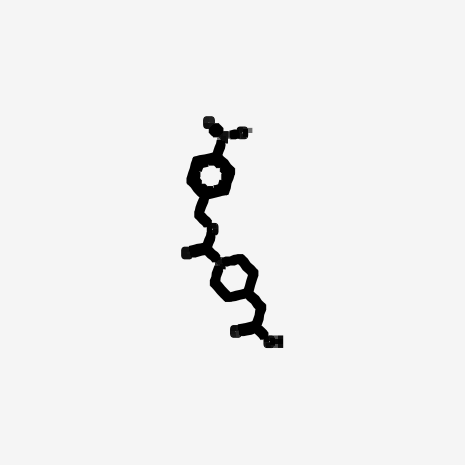 O=C(O)CC1CCN(C(=O)OCc2ccc([N+](=O)[O-])cc2)CC1